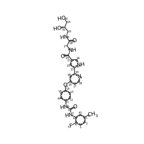 Cc1ccc(F)c(NC(=O)Nc2ccc(Oc3ccnc(-c4cc(C(=O)NCC(=O)NCC(O)CO)c[nH]4)c3)cc2)c1